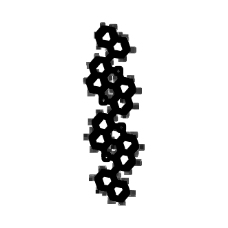 c1ccc2c(-c3ccc4ccc5oc6c(-c7ccc8ccc9oc%10c(-c%11cccc%12ccccc%11%12)ccc%11ccc%12oc7c8c9-c%12c%11%10)ccc7ccc8oc3c4c5-c8c76)cccc2c1